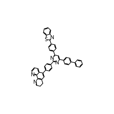 C1=Nc2c(cc(-c3ccc(-c4nc(-c5ccc(-c6ccccc6)cc5)cc(-c5ccc(-c6nc7ccccc7s6)cc5)n4)cc3)c3cccnc23)CC1